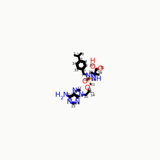 CC(C)c1ccc(CN[P@](=O)(CO[C@H](C)Cn2cnc3c(N)ncnc32)NC(C)(C)C(=O)O)cc1